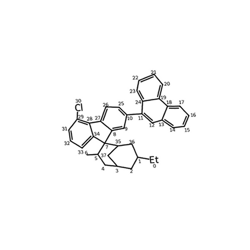 CCC1CC2CC(C)C3(c4cc(-c5cc6ccccc6c6ccccc56)ccc4-c4c(Cl)cccc43)C(C1)C2